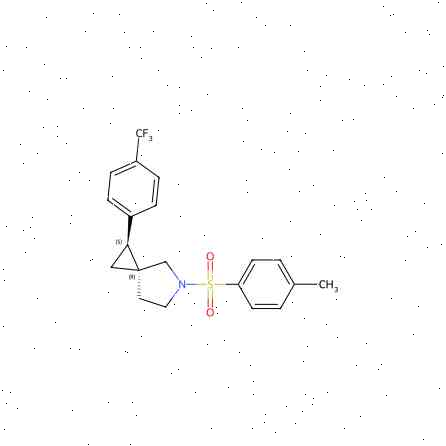 Cc1ccc(S(=O)(=O)N2CC[C@@]3(C[C@H]3c3ccc(C(F)(F)F)cc3)C2)cc1